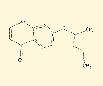 CCCC(C)Oc1ccc2c(=O)ccoc2c1